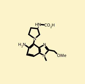 COCc1nc2c(N3CC[C@H](NC(=O)O)C3)c(N)ccc2n1C